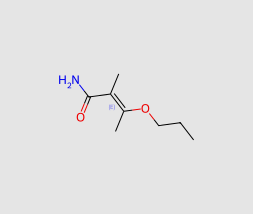 CCCO/C(C)=C(\C)C(N)=O